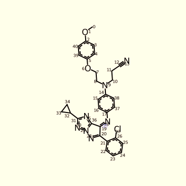 COc1ccc(OCCN(CCC#N)c2ccc(/N=C3/C(c4ccccc4Cl)=Nn4nc(C5CC5)nc43)cc2)cc1